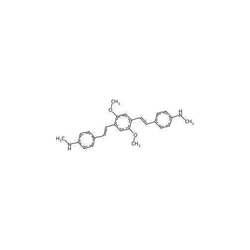 CNc1ccc(/C=C/c2cc(OC)c(/C=C/c3ccc(NC)cc3)cc2OC)cc1